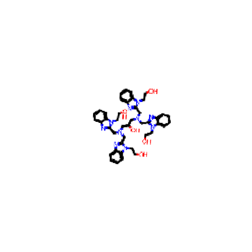 OCCn1c(CN(Cc2nc3ccccc3n2CCO)CC(O)CN(Cc2nc3ccccc3n2CCO)Cc2nc3ccccc3n2CCO)nc2c1=CCCC=2